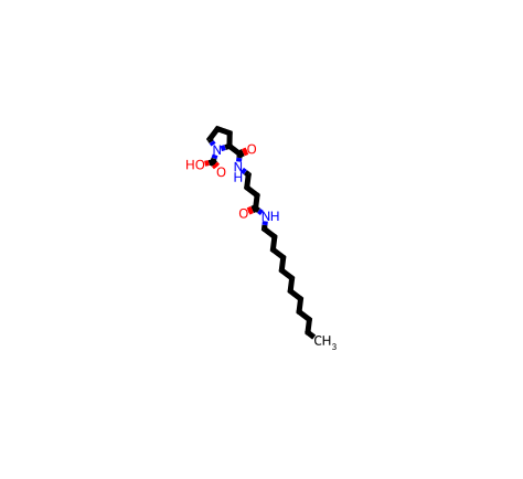 CCCCCCCCCCCCNC(=O)CCCNC(=O)C1CCCN1C(=O)O